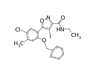 CCNC(=O)c1noc(-c2cc(Cl)c(C)cc2OCc2ccccc2)c1I